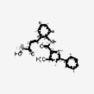 Cc1nc(-c2ccccc2)sc1C(=O)Nc1ccccc1/C=C/C(=O)NO